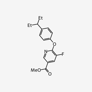 CCC(CC)c1ccc(Oc2ncc(C(=O)OC)cc2F)cc1